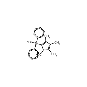 CCC[Si](C1=C(C)C(C)=C(C)C1C)(c1ccccc1)c1ccccc1